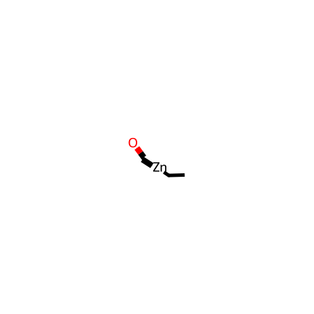 C[CH2][Zn]=[C]=O